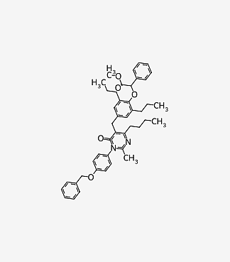 CCCCc1nc(C)n(-c2ccc(OCc3ccccc3)cc2)c(=O)c1Cc1cc(CCC)c(OC(C(=O)OC)c2ccccc2)c(CCC)c1